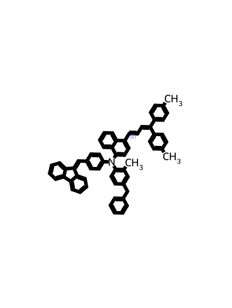 Cc1ccc(C(=C/C=C/c2ccc(N(c3ccc(C=C4c5ccccc5-c5ccccc54)cc3)c3ccc(Cc4ccccc4)cc3C)c3ccccc23)c2ccc(C)cc2)cc1